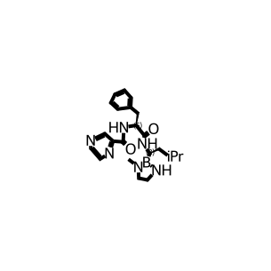 CC(C)C[C@H](NC(=O)[C@H](Cc1ccccc1)NC(=O)c1cnccn1)B1NCCN1C